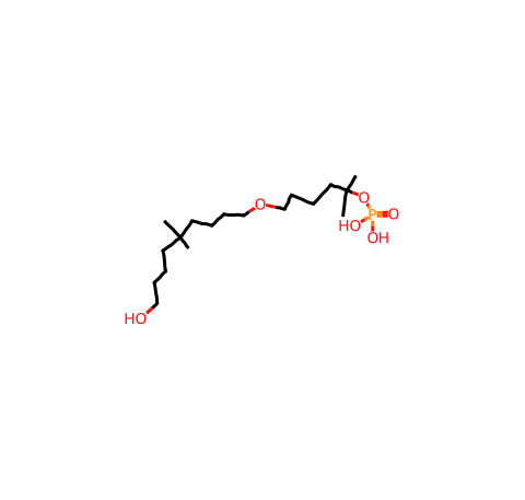 CC(C)(CCCCO)CCCCOCCCCC(C)(C)OP(=O)(O)O